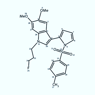 COc1cc2c(-c3cccn3S(=O)(=O)c3ccc(C)cc3)cn(CCCF)c2cc1OC